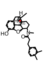 Cc1ccc(CCC(=O)N(C)C2CC[C@@]3(O)[C@H]4Cc5ccc(O)c6c5[C@@]3(CCN4C)C2(C)O6)cc1C